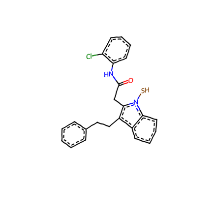 O=C(Cc1c(CCc2ccccc2)c2ccccc2n1S)Nc1ccccc1Cl